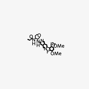 C=CC(=O)N[C@H]1CCOC[C@H]1Nc1cc2cnc(-c3c(F)c(OC)cc(OC)c3C(C)C)cc2cn1